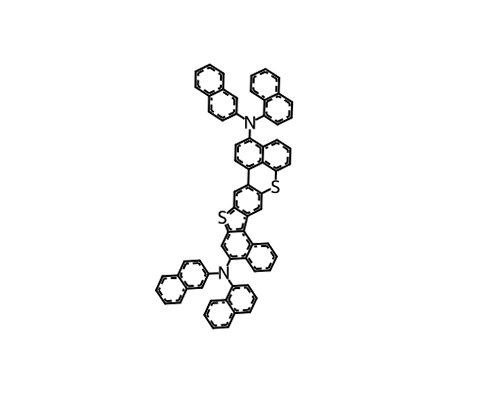 c1ccc2cc(N(c3cccc4ccccc34)c3ccc4c5c(cccc35)Sc3cc5c(cc3-4)sc3cc(N(c4ccc6ccccc6c4)c4cccc6ccccc46)c4ccccc4c35)ccc2c1